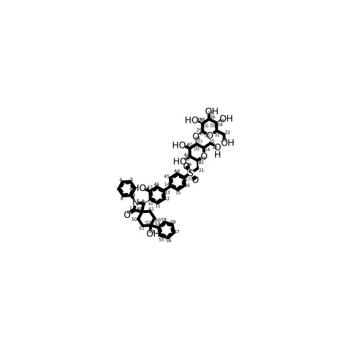 O=C1N(c2ccccc2)[C@H](c2ccc(-c3ccc(S(=O)(=O)C[C@@H]4OC(CO)[C@@H](O[C@@H]5OC(CO)[C@@H](O)C(O)[C@@H]5O)C(O)[C@@H]4O)cc3)cc2O)C12CCC(O)(c1ccccc1)CC2